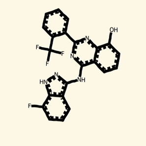 Oc1cccc2c(Nc3n[nH]c4c(F)cccc34)nc(-c3ccccc3C(F)(F)F)nc12